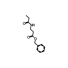 CCC(=O)NCCC(=O)OCc1ccccc1